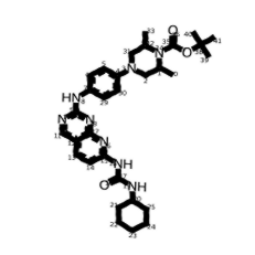 CC1CN(c2ccc(Nc3ncc4ccc(NC(=O)NC5CCCCC5)nc4n3)cc2)CC(C)N1C(=O)OC(C)(C)C